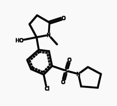 CN1C(=O)CCC1(O)c1ccc(Cl)c(S(=O)(=O)N2CCCC2)c1